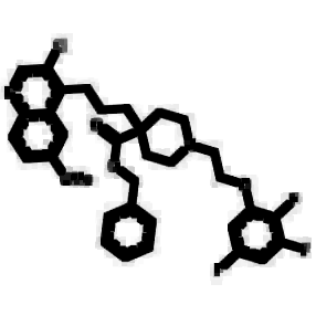 COc1ccc2ncc(Cl)c(CCCC3(C(=O)OCc4ccccc4)CCN(CCOc4cc(F)cc(F)c4F)CC3)c2c1